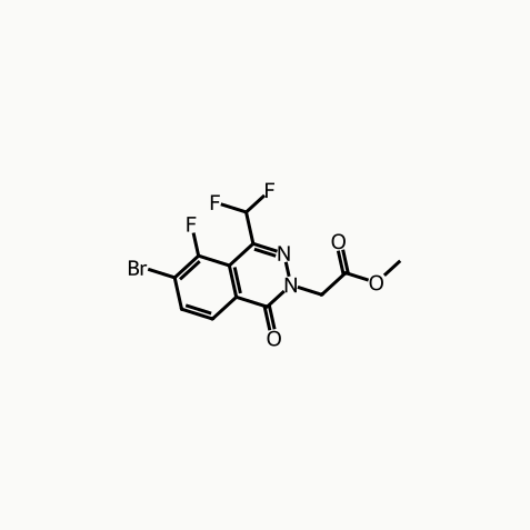 COC(=O)Cn1nc(C(F)F)c2c(F)c(Br)ccc2c1=O